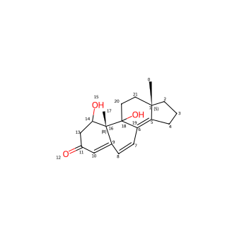 C[C@@]12CCCC1=C1C=CC3=CC(=O)CC(O)[C@]3(C)C1(O)CC2